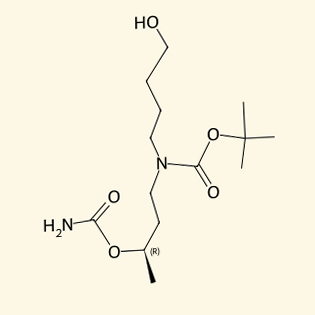 C[C@H](CCN(CCCCO)C(=O)OC(C)(C)C)OC(N)=O